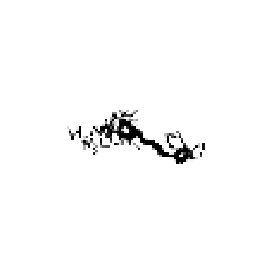 CC1(C)N=C(N)N=C(N)N1c1ccc(CCCCc2ccc(Cl)cc2Cl)cc1